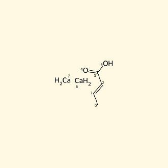 CC=CC(=O)O.[CaH2].[CaH2]